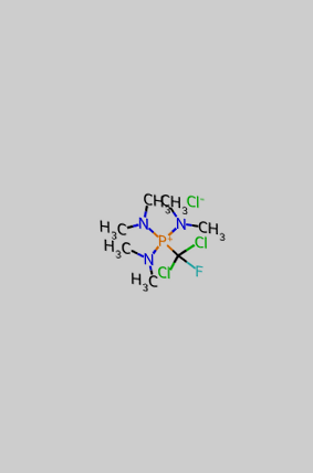 CN(C)[P+](N(C)C)(N(C)C)C(F)(Cl)Cl.[Cl-]